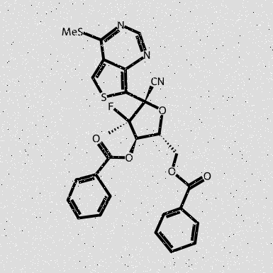 CSc1ncnc2c([C@]3(C#N)O[C@H](COC(=O)c4ccccc4)[C@@H](OC(=O)c4ccccc4)[C@@]3(C)F)scc12